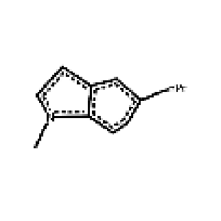 CCCc1ccc2c(ccn2C)c1